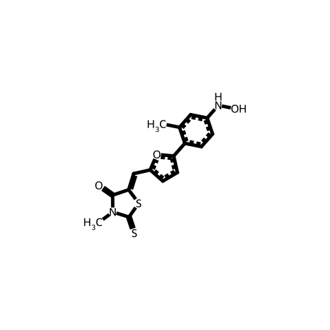 Cc1cc(NO)ccc1-c1ccc(/C=C2\SC(=S)N(C)C2=O)o1